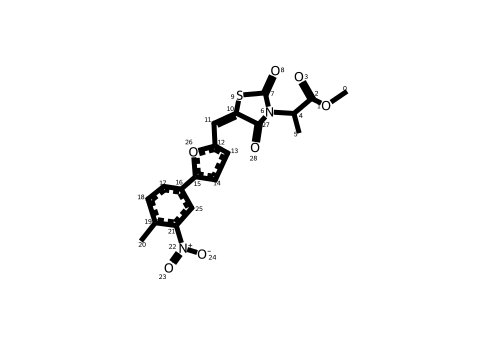 COC(=O)C(C)N1C(=O)SC(=Cc2ccc(-c3ccc(C)c([N+](=O)[O-])c3)o2)C1=O